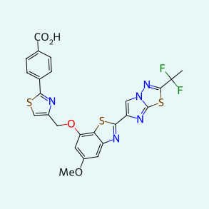 COc1cc(OCc2csc(-c3ccc(C(=O)O)cc3)n2)c2sc(-c3cn4nc(C(C)(F)F)sc4n3)nc2c1